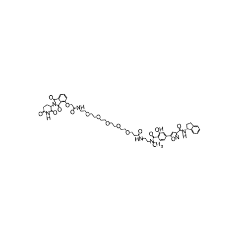 CN(CCNC(=O)CCOCCOCCOCCOCCOCCNC(=O)COc1cccc2c1C(=O)N(C1CCC(=O)NC1=O)C2=O)C(=O)c1ccc(-c2cc(C(=O)N[C@@H]3CCc4ccccc43)no2)cc1O